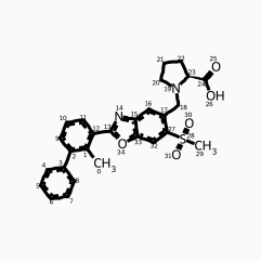 Cc1c(-c2ccccc2)cccc1-c1nc2cc(CN3CCC[C@H]3C(=O)O)c(S(C)(=O)=O)cc2o1